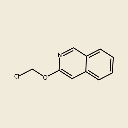 ClCOc1cc2ccccc2cn1